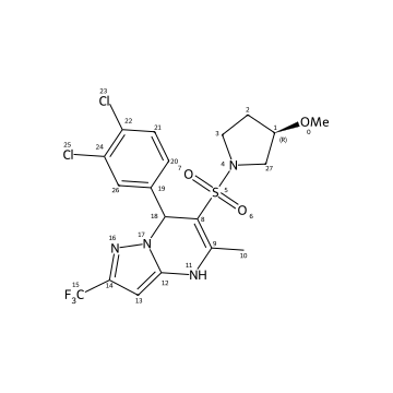 CO[C@@H]1CCN(S(=O)(=O)C2=C(C)Nc3cc(C(F)(F)F)nn3C2c2ccc(Cl)c(Cl)c2)C1